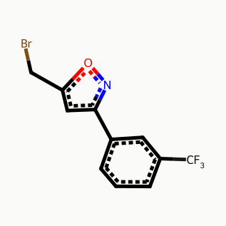 FC(F)(F)c1cccc(-c2cc(CBr)on2)c1